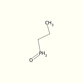 CCC[PH2]=O